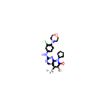 Cc1c(Br)c(=O)n(C2CCCC2)c2nc(Nc3ccc(N4CCOCC4)c(Cl)c3)ncc12